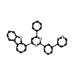 c1ccc(-c2cc(-c3cccc4c3oc3ccccc34)nc(-c3cccc(-c4cccnc4)c3)n2)cc1